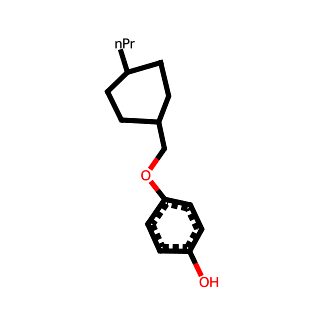 CCCC1CCC(COc2ccc(O)cc2)CC1